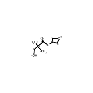 CC(C)(CO)C(=O)OC1COC1